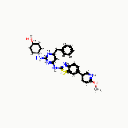 COc1ccc(-c2ccc3nc(Nc4cc(Cc5ccccc5)nc(N[C@H]5CC[C@H](O)CC5)n4)sc3c2)cn1